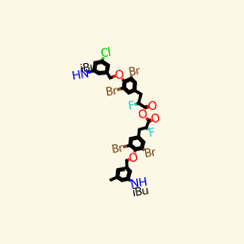 CCC(C)Nc1cc(C)cc(COc2c(Br)cc(CC(F)C(=O)OC(=O)C(F)Cc3cc(Br)c(OCc4cc(Cl)cc(NC(C)CC)c4)c(Br)c3)cc2Br)c1